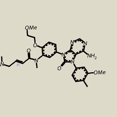 COCCOc1ccc(-n2c(=O)n(-c3ccc(C)c(OC)c3)c3c(N)ncnc32)cc1N(C)C(=O)/C=C/CN(C)C